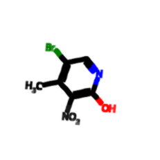 Cc1c(Br)cnc(O)c1[N+](=O)[O-]